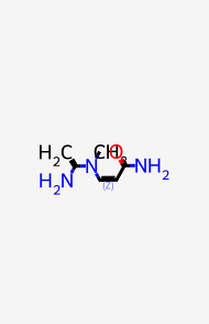 C=C(N)N(C)/C=C\C(N)=O